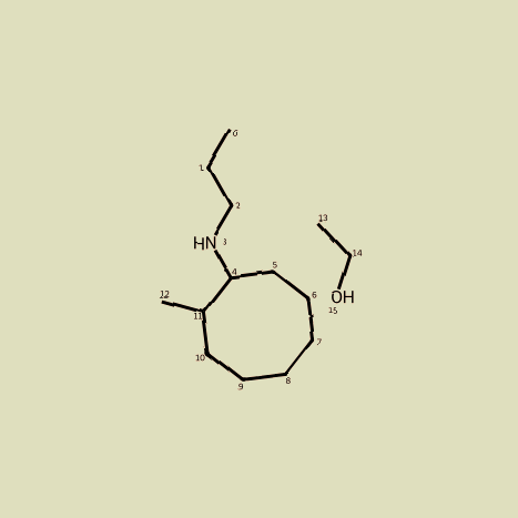 CCCNC1CCCCCCC1C.CCO